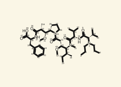 CCCN(CCC)[C@H](C(=O)N[C@H](C(=O)N(C)[C@@H]([C@@H](C)CC)[C@@H](CC(=O)N1CCC[C@H]1[C@H](OC)[C@@H](C)C(=O)N[C@@H](Cc1ccccc1)C(=O)O)OC)C(C)C)C(C)C